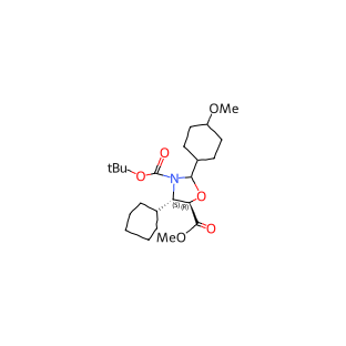 COC(=O)[C@@H]1OC(C2CCC(OC)CC2)N(C(=O)OC(C)(C)C)[C@H]1C1CCCCC1